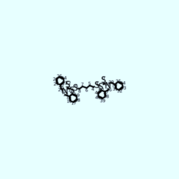 S=C(SSCCCCCSSC(=S)N(Cc1ccccc1)Cc1ccccc1)N(Cc1ccccc1)Cc1ccccc1